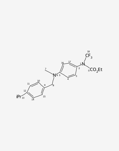 CCOC(=O)N(c1ccc(N(C)Cc2ccc(C(C)C)cc2)cc1)C(F)(F)F